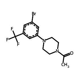 CC(=O)N1CCN(c2cc(Br)cc(C(F)(F)F)c2)CC1